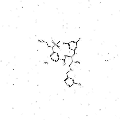 CCc1cccc(CNC[C@H](O)[C@H](Cc2cc(F)cc(F)c2)NC(=O)c2cccc(N(CCOC)S(C)(=O)=O)c2)c1.Cl